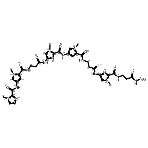 CCCCNC(=O)CCNC(=O)c1nc(NC(=O)CCNC(=O)c2cc(NC(=O)c3nc(NC(=O)CCNC(=O)c4cc(NC(=O)c5nccn5C)cn4C)cn3C)cn2C)cn1C